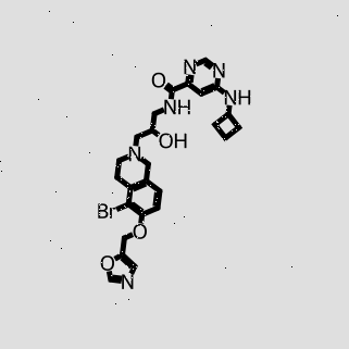 O=C(NCC(O)CN1CCc2c(ccc(OCc3cnco3)c2Br)C1)c1cc(NC2CCC2)ncn1